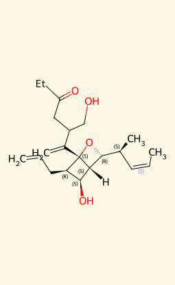 C=CC[C@@H]1[C@H](O)[C@H]2[C@@H]([C@@H](C)/C=C\C)O[C@]21C(=C)C(CO)CC(=O)CC